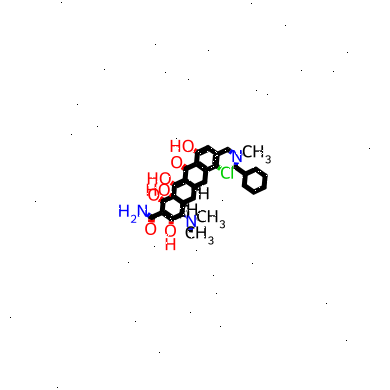 CN(Cc1cc(O)c2c(c1Cl)C[C@H]1C[C@H]3[C@H](N(C)C)C(O)=C(C(N)=O)C(=O)C3(O)C(O)=C1C2=O)CC1CCCCC1